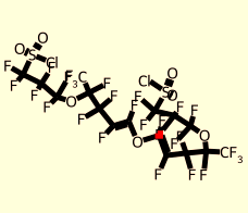 O=S(=O)(Cl)C(F)(F)C(F)(F)C(F)(F)OC(F)(C(F)(F)F)C(F)(F)C(F)=C(F)OC(F)=C(F)C(F)(F)C(F)(OC(F)(F)C(F)(F)C(F)(F)S(=O)(=O)Cl)C(F)(F)F